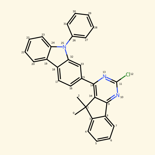 CC1(C)c2ccccc2-c2nc(Cl)nc(-c3ccc4c5ccccc5n(-c5ccccc5)c4c3)c21